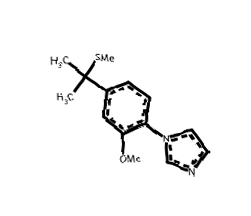 COc1cc(C(C)(C)SC)ccc1-n1ccnc1